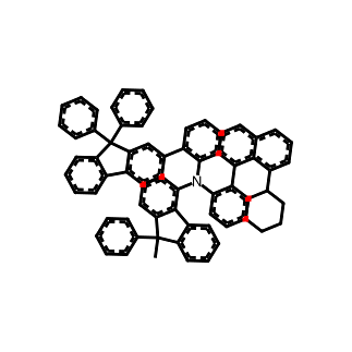 CC1(c2ccccc2)c2ccccc2-c2c(N(c3ccccc3-c3ccc4c(c3)C(c3ccccc3)(c3ccccc3)c3ccccc3-4)c3ccccc3-c3cccc4cccc(C5CCCCC5)c34)cccc21